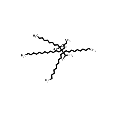 CCCCCCCCCCCCCC(CCCC)(C(C)(C)CCCCCCCCC)C(CCCCCCCCCC)(CCCCCCCCCCC)[C](C)C